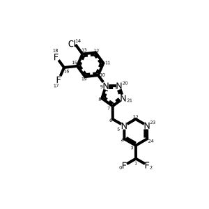 FC(F)C1=CN(Cc2cn(-c3ccc(Cl)c(C(F)F)c3)nn2)CN=C1